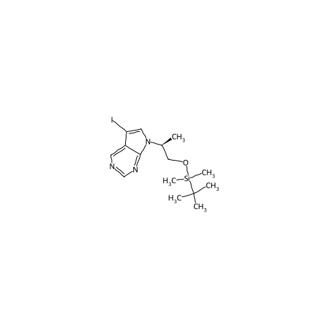 C[C@@H](CO[Si](C)(C)C(C)(C)C)n1cc(I)c2cncnc21